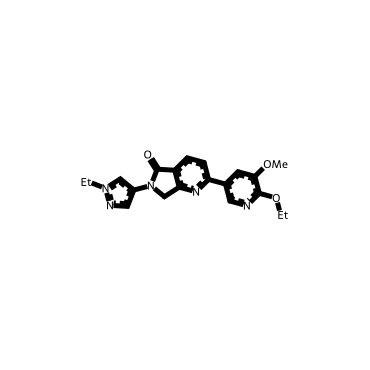 CCOc1ncc(-c2ccc3c(n2)CN(c2cnn(CC)c2)C3=O)cc1OC